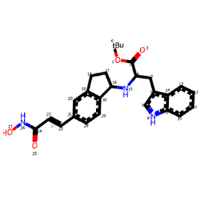 CC(C)(C)OC(=O)C(Cc1c[nH]c2ccccc12)NC1CCc2cc(/C=C/C(=O)NO)ccc21